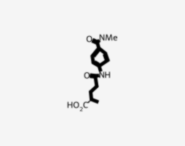 CNC(=O)c1ccc(NC(=O)CC[C@H](C)C(=O)O)cc1